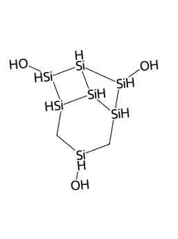 O[SiH]1C[SiH]2[SiH](O)[SiH]3[SiH](O)[SiH](C1)[SiH]23